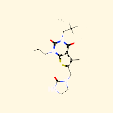 COC(C)(C)Cn1c(=O)c2c(C)c(CN3CCNC3=O)sc2n(CCC(F)(F)F)c1=O